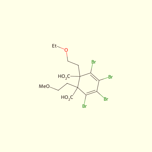 CCOCCC1(C(=O)O)C(Br)=C(Br)C(Br)=C(Br)C1(CCOC)C(=O)O